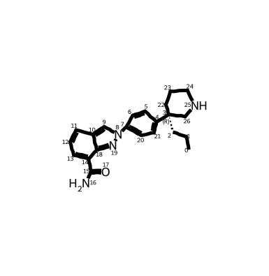 CCC[C@]1(c2ccc(-n3cc4cccc(C(N)=O)c4n3)cc2)CCCNC1